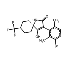 Cc1ccc(Br)c(C)c1C1=C(O)[C@]2(CC[C@H](C(F)(F)F)CC2)NC1=O